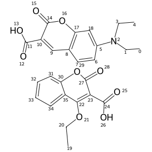 CCN(CC)c1ccc2cc(C(=O)O)c(=O)oc2c1.CCOc1c(C(=O)O)c(=O)oc2ccccc12